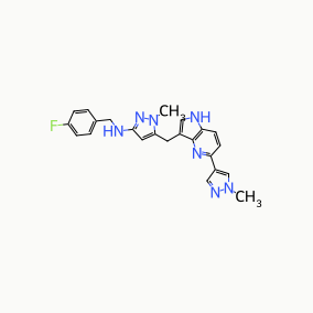 Cn1cc(-c2ccc3[nH]cc(Cc4cc(NCc5ccc(F)cc5)nn4C)c3n2)cn1